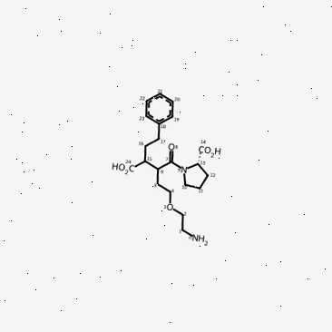 NCCOCCC(C(=O)N1CCC[C@H]1C(=O)O)C(CCc1ccccc1)C(=O)O